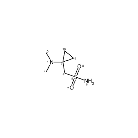 CN(C)C1(CS(N)(=O)=O)CC1